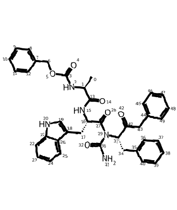 C[C@H](NC(=O)OCc1ccccc1)C(=O)N[C@@H](Cc1c[nH]c2ccccc12)C(=O)N(C(N)=O)[C@@H](Cc1ccccc1)C(=O)Cc1ccccc1